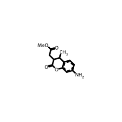 COC(=O)CC1C(=O)Oc2cc(N)ccc2C1C